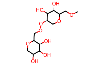 COCC1OC[C@@H](OOCC2OCC(O)C(O)[C@@H]2O)C(O)[C@@H]1O